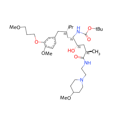 COCCCOc1cc(C[C@@H](C[C@H](NC(=O)OC(C)(C)C)[C@@H](O)C[C@@H](C)C(=O)NCCN2CCC(OC)CC2)C(C)C)ccc1OC